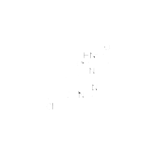 O=c1ccn(-c2cc(-c3cccc(Cl)c3)ncn2)c(=O)[nH]1